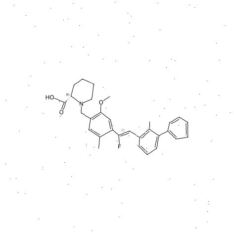 COc1cc(/C(F)=C/c2cccc(-c3ccccc3)c2C)c(C)cc1CN1CCCC[C@H]1C(=O)O